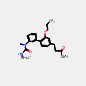 CCCCCCCNC(=O)N(C)c1cccc(-c2ccc(CCC(=O)OC)cc2OCCC(F)(F)F)c1